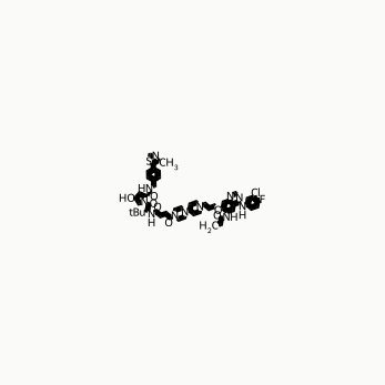 C=CC(=O)Nc1cc2c(Nc3ccc(F)c(Cl)c3)ncnc2cc1OCCCN1CCC(N2CCN(C(=O)CCC(=O)N[C@H](C(=O)N3C[C@H](O)C[C@H]3C(=O)NCc3ccc(-c4scnc4C)cc3)C(C)(C)C)CC2)CC1